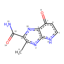 Cc1nc2[nH]ccc(=O)c2nc1C(N)=O